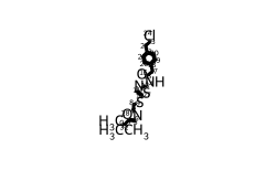 CC(C)(C)c1cnc(CSc2cnc(NC(=O)Cc3ccc(CCCl)cc3)s2)o1